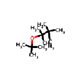 CC(C)(C)OC(C)(C)C(C)(C)C